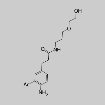 CC(=O)c1cc(CCC(=O)NCCCOCCO)ccc1N